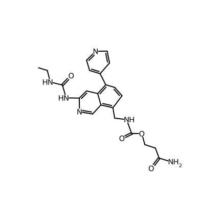 CCNC(=O)Nc1cc2c(-c3ccncc3)ccc(CNC(=O)OCCC(N)=O)c2cn1